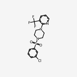 O=S(=O)(c1cccc(Cl)c1)N1CCN(c2ncccc2C(F)(F)F)CC1